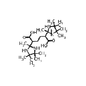 CC1(C(CCC(C(=O)O)C2(C)NC(C)(C)C(C)(C)N2)C(=O)O)NC(C)(C)C(C)(C)N1